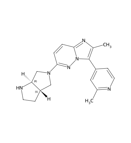 Cc1cc(-c2c(C)nc3ccc(N4C[C@@H]5CCN[C@H]5C4)nn23)ccn1